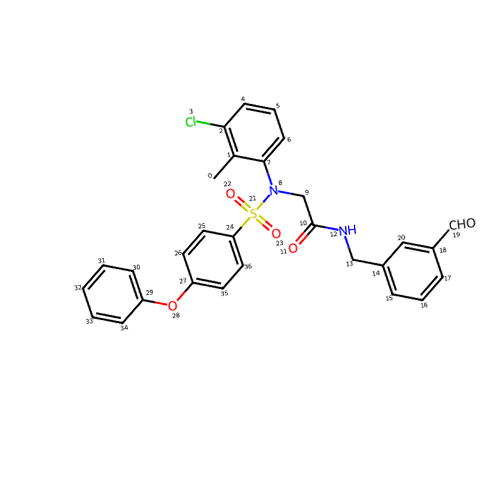 Cc1c(Cl)cccc1N(CC(=O)NCc1cccc(C=O)c1)S(=O)(=O)c1ccc(Oc2ccccc2)cc1